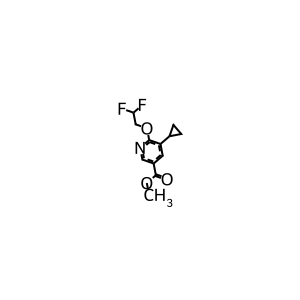 COC(=O)c1cnc(OCC(F)F)c(C2CC2)c1